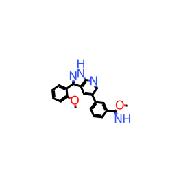 COC(=N)c1cccc(-c2cnc3[nH]nc(-c4ccccc4OC)c3c2)c1